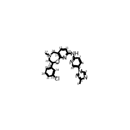 Cc1ncn(-c2ccc(Nc3ccc4c(n3)OC(c3cccc(Cl)c3)CN(C)C4)nc2)n1